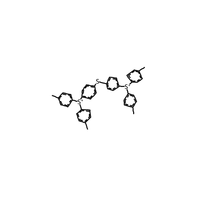 Cc1ccc([S+](c2ccc(C)cc2)c2ccc(Sc3ccc([S+](c4ccc(C)cc4)c4ccc(C)cc4)cc3)cc2)cc1